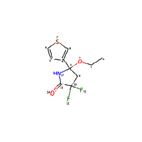 CCOC1(c2ccsc2)CC(F)(F)C(=O)N1